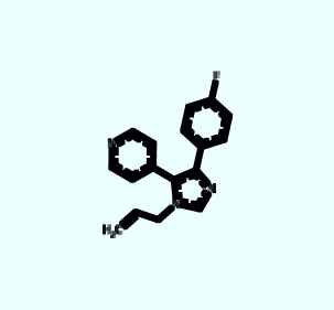 C=CCn1cnc(-c2ccc(F)cc2)c1-c1ccncc1